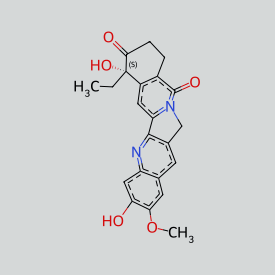 CC[C@@]1(O)C(=O)CCc2c1cc1n(c2=O)Cc2cc3cc(OC)c(O)cc3nc2-1